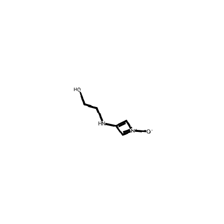 [O-][N+]1=CC(NCCO)=C1